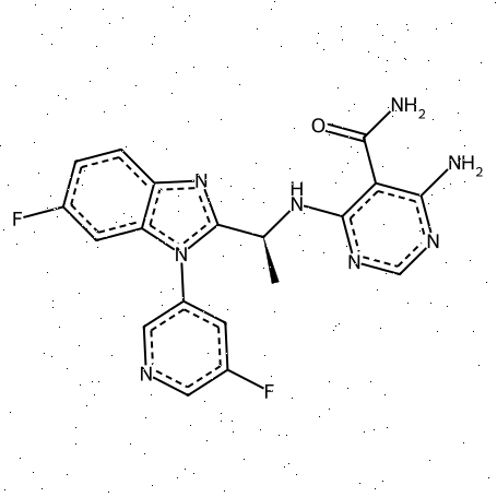 C[C@H](Nc1ncnc(N)c1C(N)=O)c1nc2ccc(F)cc2n1-c1cncc(F)c1